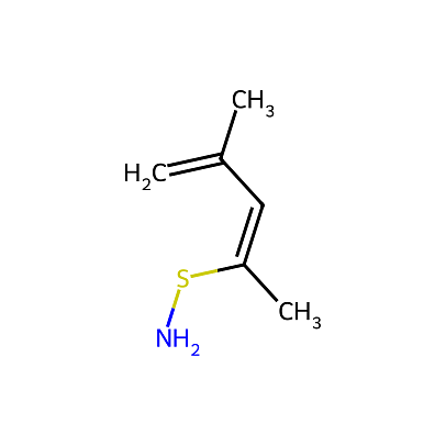 C=C(C)/C=C(/C)SN